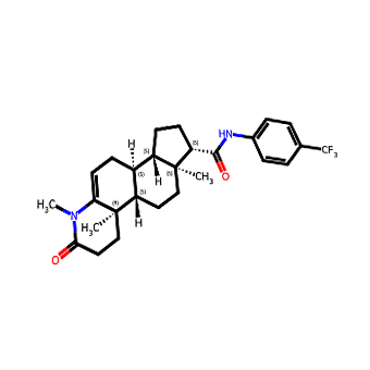 CN1C(=O)CC[C@@]2(C)C1=CC[C@H]1[C@@H]3CC[C@H](C(=O)Nc4ccc(C(F)(F)F)cc4)[C@@]3(C)CC[C@@H]12